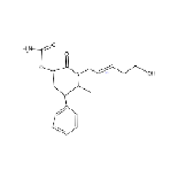 CC1C(c2ccccc2)CC(OC(N)=O)C(=O)N1C/C=C/CCO